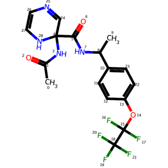 CC(=O)NC1(C(=O)NC(C)c2ccc(OC(F)(F)C(F)(F)F)cc2)C=NC=CN1